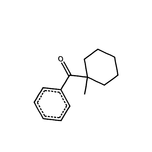 CC1(C(=O)c2ccccc2)CCCCC1